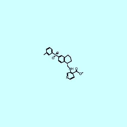 COC(=O)c1ccncc1NC[C@@H]1CCCc2cc(S(=O)(=O)c3cccc(C)c3)ccc21